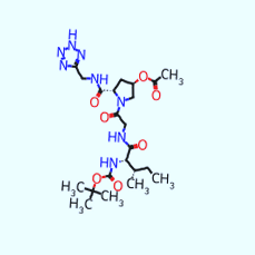 CC[C@H](C)[C@H](NC(=O)OC(C)(C)C)C(=O)NCC(=O)N1C[C@H](OC(C)=O)C[C@H]1C(=O)NCc1nn[nH]n1